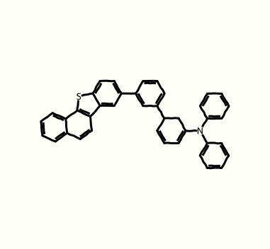 C1=CC(c2cccc(-c3ccc4sc5c6ccccc6ccc5c4c3)c2)CC(N(c2ccccc2)c2ccccc2)=C1